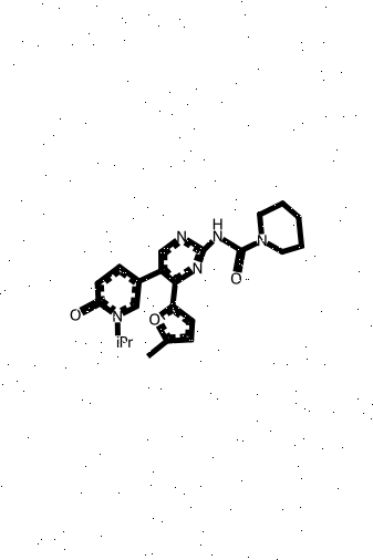 Cc1ccc(-c2nc(NC(=O)N3CCCCC3)ncc2-c2ccc(=O)n(C(C)C)c2)o1